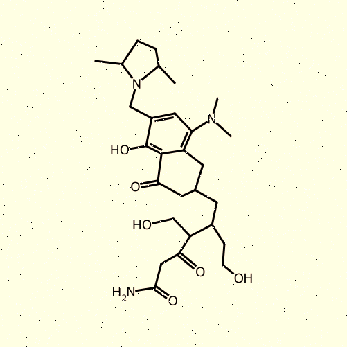 CC1CCC(C)N1Cc1cc(N(C)C)c2c(c1O)C(=O)CC(CC(CCO)C(CO)C(=O)CC(N)=O)C2